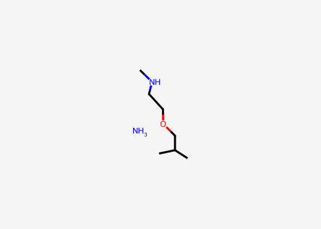 CNCCOCC(C)C.N